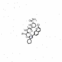 CCc1ccc2ccc(/C=C/C3(C(=O)OC(C(=O)N[C@@H](C)C(=O)N4CCC[C@@H](C(N)=O)N4)C(C)C)CCCCC3)cc2n1